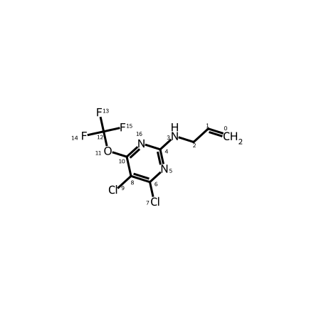 C=CCNc1nc(Cl)c(Cl)c(OC(F)(F)F)n1